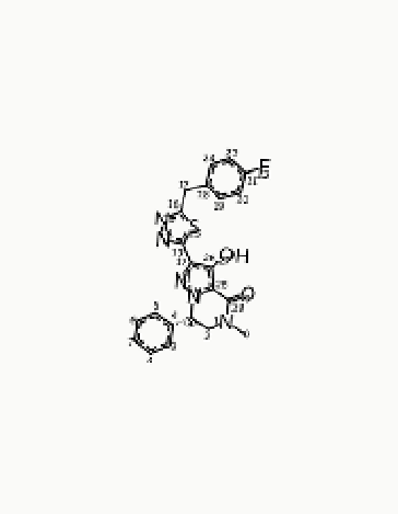 CN1C[C@H](c2ccccc2)n2nc(-c3nnc(Cc4ccc(F)cc4)s3)c(O)c2C1=O